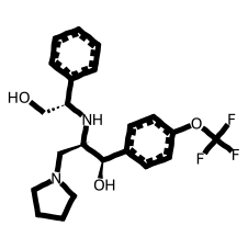 OC[C@@H](N[C@H](CN1CCCC1)[C@H](O)c1ccc(OC(F)(F)F)cc1)c1ccccc1